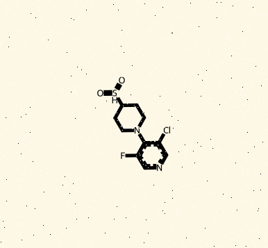 O=[SH](=O)C1CCN(c2c(F)cncc2Cl)CC1